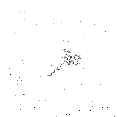 CCCCCNCCCCCC(=O)[C@](N)(CCC(N)=O)S(=O)(=O)c1cccc2ccccc12